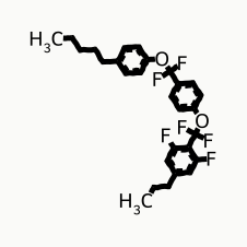 CCCCCc1ccc(OC(F)(F)c2ccc(OC(F)(F)c3c(F)cc(CCC)cc3F)cc2)cc1